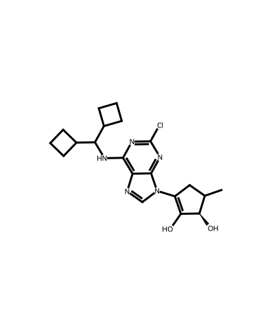 CC1CC(n2cnc3c(NC(C4CCC4)C4CCC4)nc(Cl)nc32)=C(O)[C@@H]1O